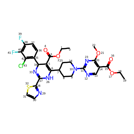 CCOC(=O)C1=C(C2CCN(c3ncc(C(=O)OCC)c(OC)n3)CC2)NC(c2nccs2)=NC1c1ccc(F)c(F)c1Cl